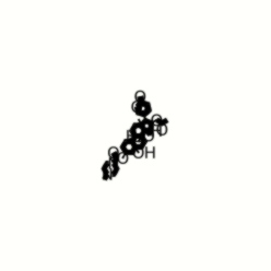 CC(=O)O[C@H]1[C@H]2O[C@]23[C@@H]2CC[C@]4(O)C[C@@H](OC(=O)N5CCN(C)CC5)CC[C@]4(C)[C@H]2CC[C@]3(C)[C@H]1c1ccc(=O)oc1